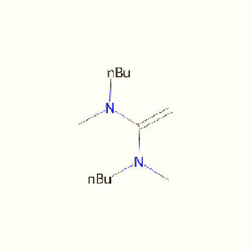 C=C(N(C)CCCC)N(C)CCCC